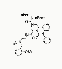 CCCCCN(CCCCC)C(=O)N1CCN(C(=O)N(c2ccccc2)c2ccccc2)C(C(=O)NCCN(C)Cc2ccccc2OC)C1